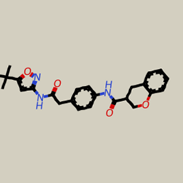 CC(C)(C)c1cc(NC(=O)Cc2ccc(NC(=O)C3COc4ccccc4C3)cc2)no1